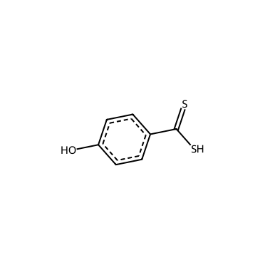 Oc1ccc(C(=S)S)cc1